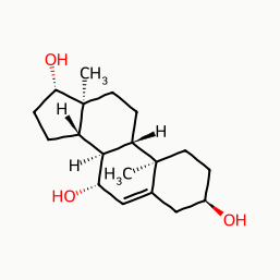 C[C@]12CC[C@H]3[C@@H]([C@@H](O)C=C4C[C@H](O)CC[C@@]43C)[C@@H]1CC[C@@H]2O